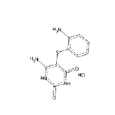 Cl.Nc1ccccc1Sc1c(N)[nH]c(=O)[nH]c1=O